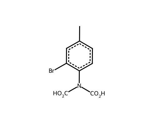 Cc1ccc(N(C(=O)O)C(=O)O)c(Br)c1